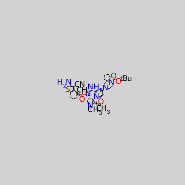 C[C@H](Oc1cc(N2CCN(C(=O)OC(C)(C)C)C3(CCCC3)C2)cc(/C(N)=N/OC(=O)[C@@]2(C)CCCc3sc(N)c(C#N)c32)n1)[C@@H]1CCCN1C